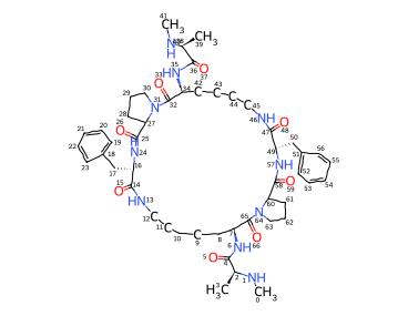 CN[C@@H](C)C(=O)N[C@H]1CCCCCNC(=O)[C@H](Cc2ccccc2)NC(=O)C2CCCN2C(=O)[C@@H](NC(=O)[C@H](C)NC)CCCCNC(=O)[C@H](Cc2ccccc2)NC(=O)C2CCCN2C1=O